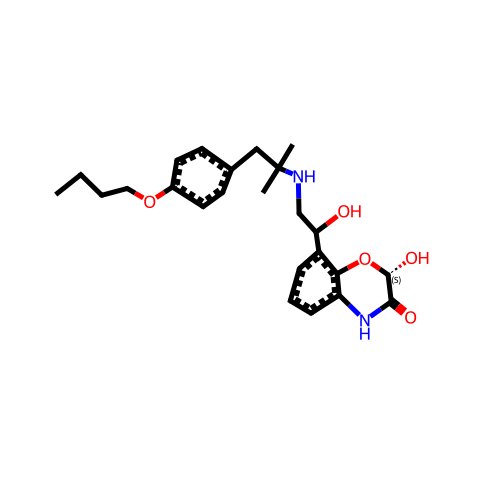 CCCCOc1ccc(CC(C)(C)NCC(O)c2cccc3c2O[C@H](O)C(=O)N3)cc1